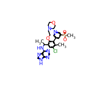 Cc1c(Cl)cc(C(C)Nc2ncnc3[nH]cnc23)c(OCCN2CCOCC2)c1-c1cncc(S(C)(=O)=O)c1